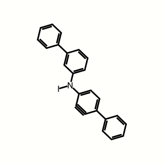 IN(c1c#cc(-c2ccccc2)cc1)c1cccc(-c2ccccc2)c1